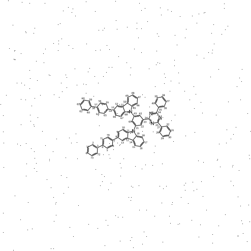 c1ccc(-c2ccc(-c3ccc4c(c3)c3ccccc3n4-c3cc(-c4nc(-c5ccccc5)nc(-c5ccccc5)n4)cc(-n4c5ccccc5c5cc(-c6ccc(-c7ccccc7)cc6)ccc54)c3)cc2)cc1